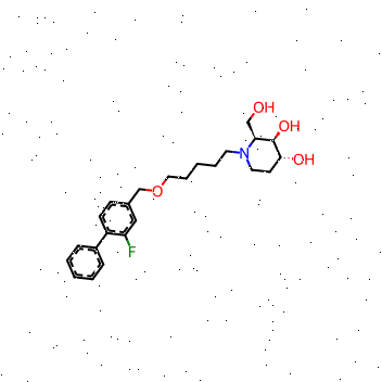 OC[C@H]1[C@@H](O)[C@H](O)CCN1CCCCCOCc1ccc(-c2ccccc2)c(F)c1